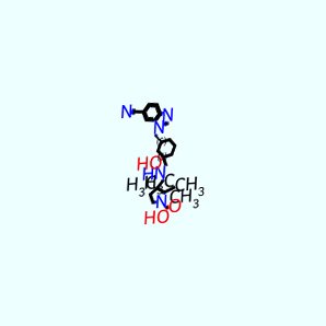 CC(C)(C)C1N(C(=O)O)CCC1(C)CNC[C@]1(O)CCC[C@H](Cn2cnc3ccc(C#N)cc32)C1